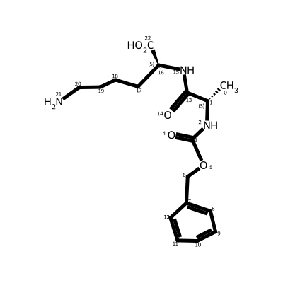 C[C@H](NC(=O)OCc1ccccc1)C(=O)N[C@@H](CCCCN)C(=O)O